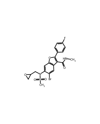 CNC(=O)c1c(-c2ccc(F)cc2)oc2cc(N(CC3CO3)S(C)(=O)=O)c(Br)cc12